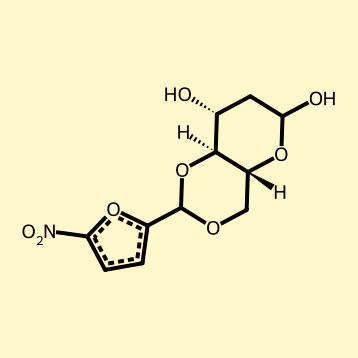 O=[N+]([O-])c1ccc(C2OC[C@H]3OC(O)C[C@@H](O)[C@@H]3O2)o1